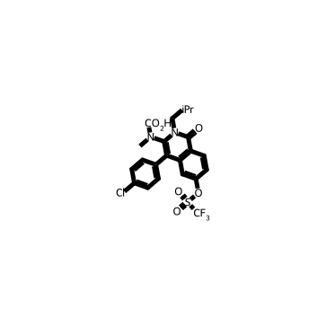 CC(C)Cn1c(N(C)C(=O)O)c(-c2ccc(Cl)cc2)c2cc(OS(=O)(=O)C(F)(F)F)ccc2c1=O